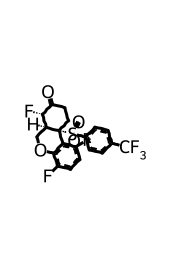 O=C1CC[C@@]2(S(=O)(=O)c3ccc(C(F)(F)F)cc3)c3c(F)ccc(F)c3OC[C@H]2[C@@H]1F